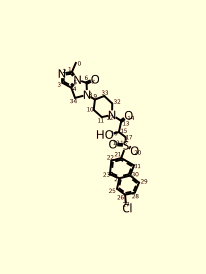 Cc1ncc2n1C(=O)N(C1CCN(C(=O)C(O)CS(=O)(=O)c3ccc4cc(Cl)ccc4c3)CC1)C2